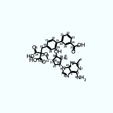 Cc1nc(N)c2ncn([C@@H]3C[C@H](COC(Cc4ccc(-c5cccc(C(=O)O)c5)cc4)(C(=O)O)C(=O)O)[C@@H](O)[C@@H]3F)c2n1